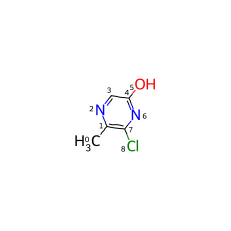 Cc1ncc(O)nc1Cl